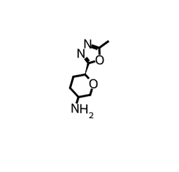 Cc1nnc([C@@H]2CCC(N)CO2)o1